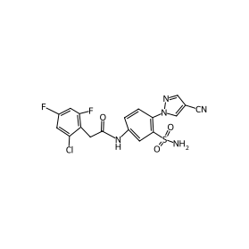 N#Cc1cnn(-c2ccc(NC(=O)Cc3c(F)cc(F)cc3Cl)cc2S(N)(=O)=O)c1